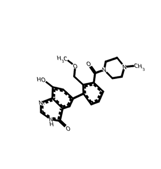 COCc1c(C(=O)N2CCN(C)CC2)cccc1-c1cc(O)c2nc[nH]c(=O)c2c1